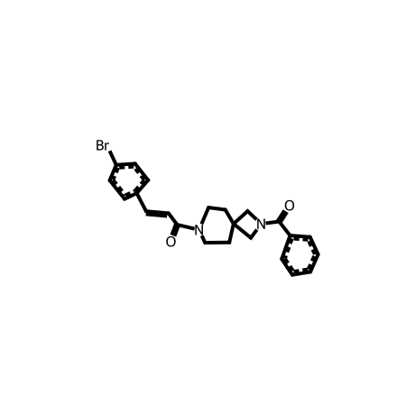 O=C(/C=C/c1ccc(Br)cc1)N1CCC2(CC1)CN(C(=O)c1ccccc1)C2